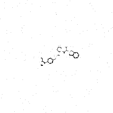 C=Cc1ncsc1-c1ccc(CNC(=O)[C@@H]2CCCN2C(=O)C(C(C)C)N2Cc3ccccc3C2=O)cc1